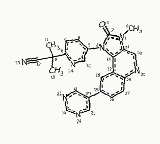 Cn1c(=O)n(-c2ccc(C(C)(C)C#N)nc2)c2c3cc(-c4cncnc4)ccc3ncc21